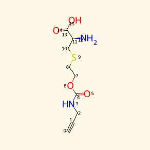 C#CCNC(=O)OCCSC[C@H](N)C(=O)O